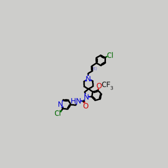 O=C(NCc1ccnc(Cl)c1)N1CC2(CCN(C/C=C/c3ccc(Cl)cc3)CC2)c2c(OC(F)(F)F)cccc21